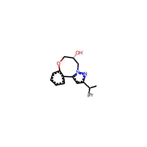 CC(C)C(C)c1cc2n(n1)C[C@@H](O)COc1ccccc1-2